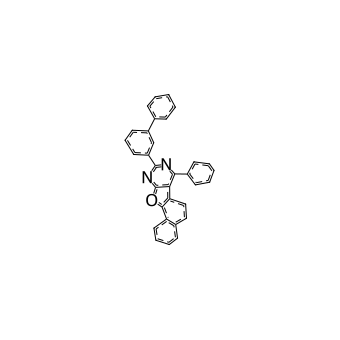 c1ccc(-c2cccc(-c3nc(-c4ccccc4)c4c(n3)oc3c5ccccc5ccc34)c2)cc1